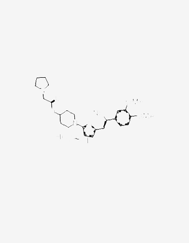 COc1ccc(C(C#N)=Cc2ccc(N3CCC(OC(=O)CN4CCCC4)CC3)s2)cc1OC.CS(=O)(=O)O